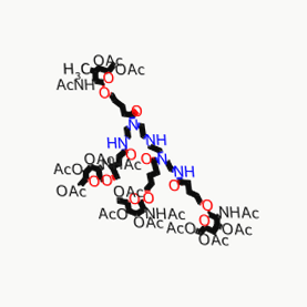 CC(=O)NC1C(C)[C@@H](OC(C)=O)C(COC(C)=O)O[C@H]1OCCCCC(=O)N(CCNCCN(CCNC(=O)CCCCO[C@@H]1OC(COC(C)=O)[C@H](OC(C)=O)C(OC(C)=O)C1NC(C)=O)C(=O)CCCCO[C@@H]1OC(COC(C)=O)[C@H](OC(C)=O)C(OC(C)=O)C1NC(C)=O)CCNC(=O)CCCCO[C@@H]1OC(COC(C)=O)[C@H](OC(C)=O)C(OC(C)=O)C1NC(C)=O